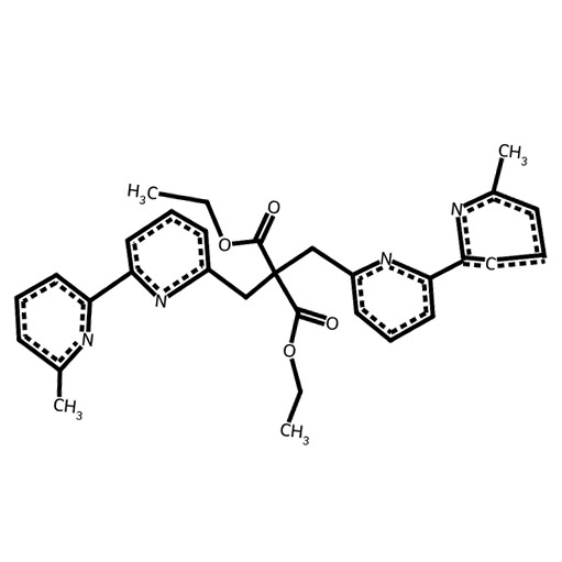 CCOC(=O)C(Cc1cccc(-c2cccc(C)n2)n1)(Cc1cccc(-c2cccc(C)n2)n1)C(=O)OCC